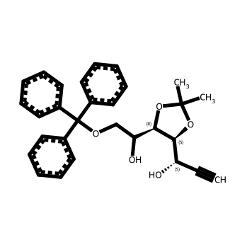 C#C[C@H](O)[C@@H]1OC(C)(C)O[C@@H]1C(O)COC(c1ccccc1)(c1ccccc1)c1ccccc1